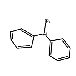 C[CH](C)[Al]([c]1ccccc1)[c]1ccccc1